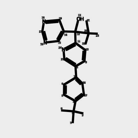 CC(C)(C)c1ccc(-c2ccc(C(O)(c3cncnc3)C(C)(C)C)nc2)cc1